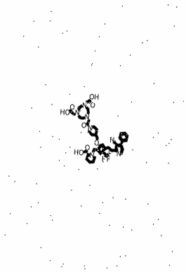 N#Cc1c(-c2ccccc2)ccnc1CCc1cc(OCC2CCN(C(=O)CN3CCN(CC(=O)O)CCN(CC(=O)O)CC3)CC2)c(CN2CCCC[C@H]2C(=O)O)cc1C(F)(F)F